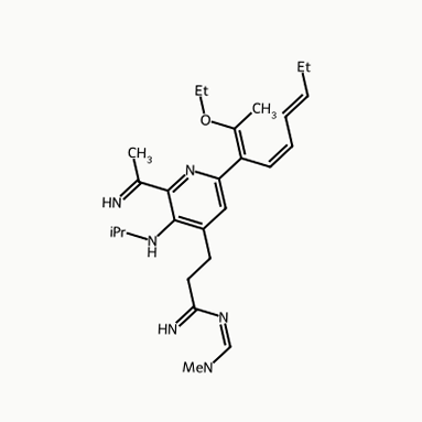 CC/C=C/C=C\C(=C(/C)OCC)c1cc(CCC(=N)/N=C\NC)c(NC(C)C)c(C(C)=N)n1